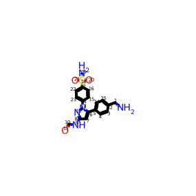 NCc1ccc(-c2cc(NC=O)nn2-c2ccc(S(N)(=O)=O)cc2)cc1